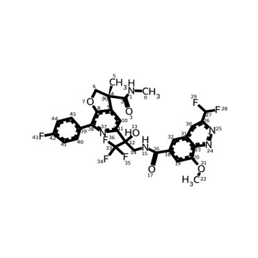 CNC(=O)[C@@]1(C)COc2c1cc(C(O)(CNC(=O)c1cc(OC)c3nnc(C(F)F)cc3c1)C(F)(F)F)nc2-c1ccc(F)cc1